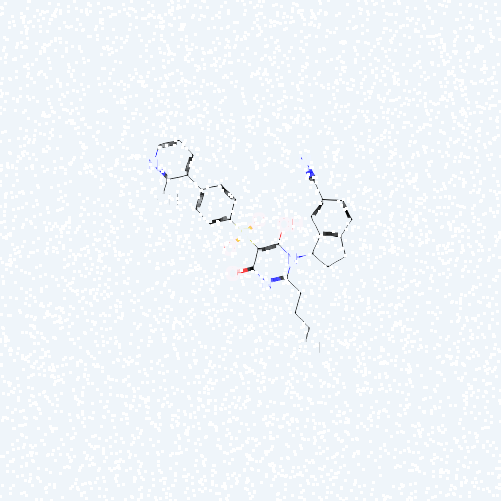 CCCCc1nc(=O)c(S(=O)(=O)c2ccc(-c3cccnc3C)cc2)c(O)n1[C@@H]1CCc2ccc(C#N)cc21